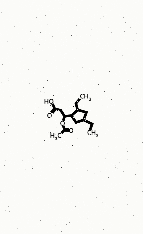 CCC1CC(CC)C(C(CC(=O)O)OC(C)=O)C1